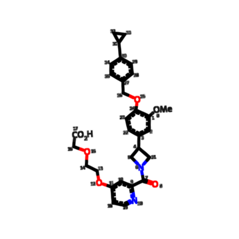 COc1cc(C2CN(C(=O)c3cc(OCCOCC(=O)O)ccn3)C2)ccc1OCc1ccc(C2CC2)cc1